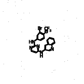 FC(F)(F)Oc1ccc(Nc2nccc(Nc3cnc4ccccc4c3)n2)cc1Br